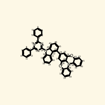 c1ccc(-c2nc(-c3ccccc3)nc(-n3c4ccccc4c4c(-c5cc6c7c(c5)Oc5ccccc5N7c5ccccc5O6)cccc43)n2)cc1